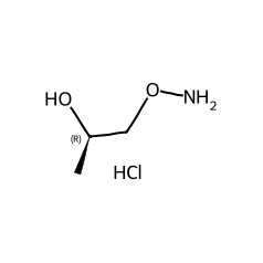 C[C@@H](O)CON.Cl